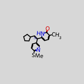 CSc1ccc(/C(=C\C2CCCC2)c2ccc(C)c(=O)[nH]2)cn1